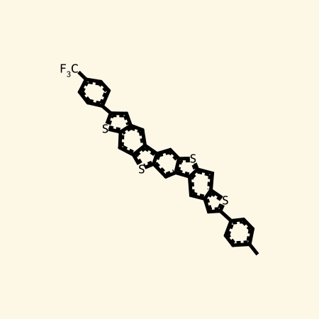 Cc1ccc(-c2cc3cc4c(cc3s2)sc2cc3c(cc24)sc2cc4sc(-c5ccc(C(F)(F)F)cc5)cc4cc23)cc1